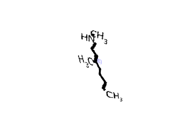 CCCCC/C(C)=C/CCNC